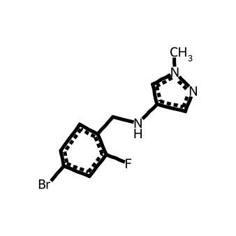 Cn1cc(NCc2ccc(Br)cc2F)cn1